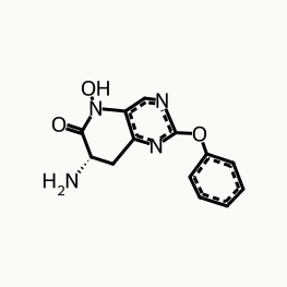 N[C@H]1Cc2nc(Oc3ccccc3)ncc2N(O)C1=O